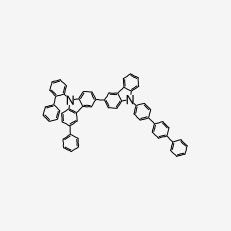 c1ccc(-c2ccc(-c3ccc(-n4c5ccccc5c5cc(-c6ccc7c(c6)c6cc(-c8ccccc8)ccc6n7-c6ccccc6-c6ccccc6)ccc54)cc3)cc2)cc1